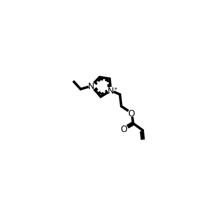 C=CC(=O)OCC[n+]1ccn(CC)c1